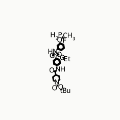 CCOc1cc(NC(=O)C2CCN(C(=O)OC(C)(C)C)CC2)ccc1S(=O)(=O)Nc1cccc(OC(C)(F)P)c1